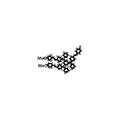 COc1ccc(/C=C/c2ccc(N(c3ccccc3)c3cc(N(c4ccccc4)c4ccc(/C=C/c5ccc(C)cc5)cc4)cc(N(c4ccccc4)c4ccc(/C=C/c5ccc(OC)cc5)cc4)c3)cc2)cc1